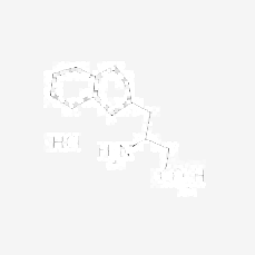 Cl.N[C@H](CC(=O)O)Cc1ccc2ccccc2c1